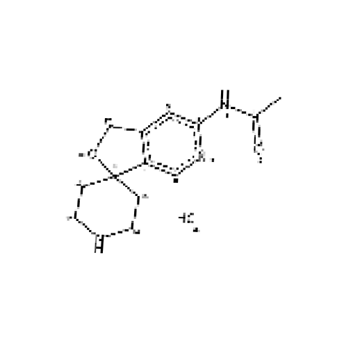 CC(=O)Nc1cc2c(cn1)C1(CCNCC1)OC2.Cl